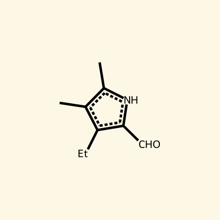 CCc1c(C=O)[nH]c(C)c1C